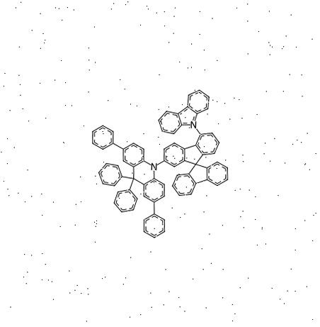 c1ccc(-c2ccc3c(c2)C(c2ccccc2)(c2ccccc2)c2cc(-c4ccccc4)ccc2N3c2ccc3c(c2)C2(c4ccccc4-c4ccccc42)c2cccc(-n4c5ccccc5c5ccccc54)c2-3)cc1